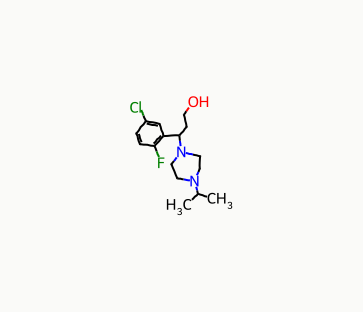 CC(C)N1CCN(C(CCO)c2cc(Cl)ccc2F)CC1